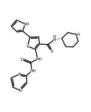 O=C(Nc1cnccn1)Nc1sc(-c2ccc[nH]2)cc1C(=O)N[C@H]1CCCNC1